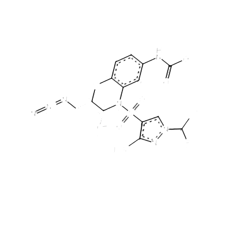 Cc1nn(C(F)F)cc1S(=O)(=O)N1c2cc(NC(=O)[O-])ccc2O[C@@H](CN=[N+]=N)[C@H]1C